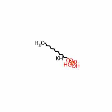 CCCCCCCCCCCCOOP(=O)(O)O.[KH]